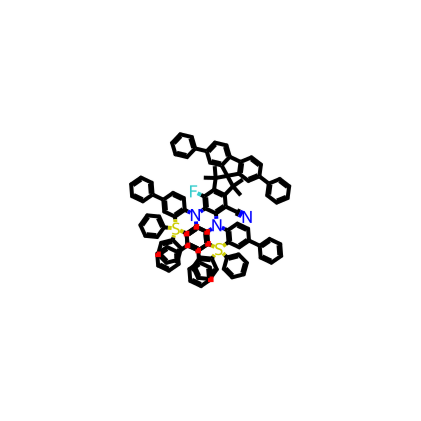 CC1(C)c2c(F)c(N3c4ccc(-c5ccccc5)cc4S(c4ccccc4)(c4ccccc4)c4cc(-c5ccccc5)ccc43)c(N3c4ccc(-c5ccccc5)cc4S(c4ccccc4)(c4ccccc4)c4cc(-c5ccccc5)ccc43)c(C#N)c2C(C)(C)C12c1cc(-c3ccccc3)ccc1-c1ccc(-c3ccccc3)cc12